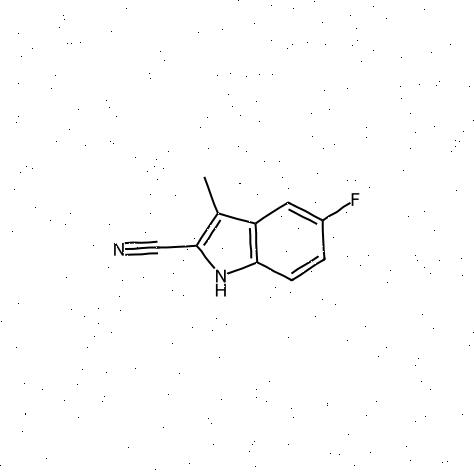 Cc1c(C#N)[nH]c2ccc(F)cc12